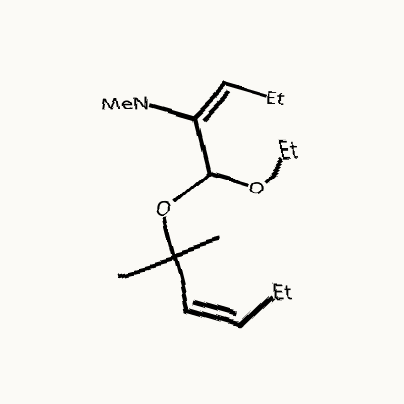 CC/C=C\C(C)(C)OC(OCC)/C(=C\CC)NC